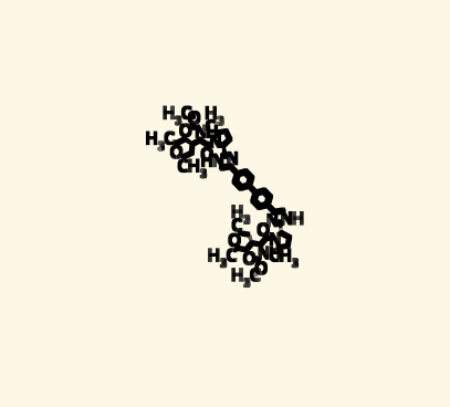 COC(=O)N[C@H](C(=O)N1[C@@H](C)CC[C@H]1c1nc(-c2ccc(-c3ccc(-c4c[nH]c([C@@H]5CC[C@H](C)N5C(=O)[C@@H](NC(=O)OC)[C@H]5C[C@@H](C)O[C@@H](C)C5)n4)cc3)cc2)c[nH]1)[C@@H]1C[C@@H](C)O[C@@H](C)C1